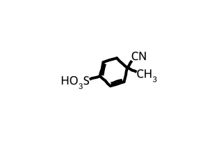 CC1(C#N)C=CC(S(=O)(=O)O)=CC1